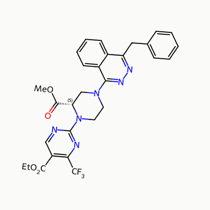 CCOC(=O)c1cnc(N2CCN(c3nnc(Cc4ccccc4)c4ccccc34)C[C@H]2C(=O)OC)nc1C(F)(F)F